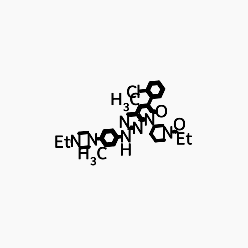 CCC(=O)N1CCCC(n2c(=O)c(-c3ccccc3Cl)c(C)c3cnc(Nc4ccc(N5CCN(CC)CC5)c(C)c4)nc32)C1